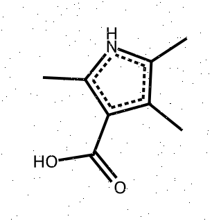 Cc1[nH]c(C)c(C(=O)O)c1C